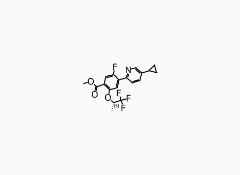 COC(=O)c1cc(F)c(-c2ccc(C3CC3)cn2)cc1O[C@@H](C)C(F)(F)F